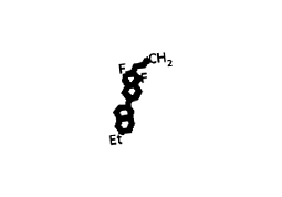 C=CCCc1c(F)cc2cc(C3CCC4CC(CC)CCC4C3)ccc2c1F